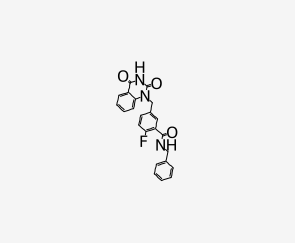 O=C(NCc1ccccc1)c1cc(Cn2c(=O)[nH]c(=O)c3ccccc32)ccc1F